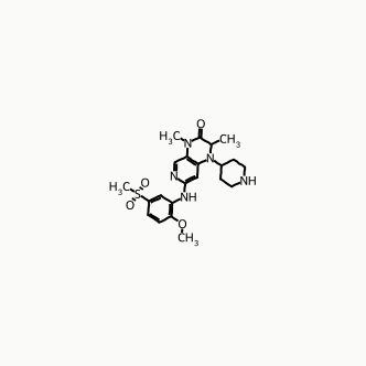 COc1ccc(S(C)(=O)=O)cc1Nc1cc2c(cn1)N(C)C(=O)C(C)N2C1CCNCC1